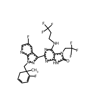 CC1(Cn2nc(-c3nc(NCCC(F)(F)F)c4c(n3)[nH]c(=O)n4CC(F)(F)F)c3cc(F)cnc32)CC=CC=C1F